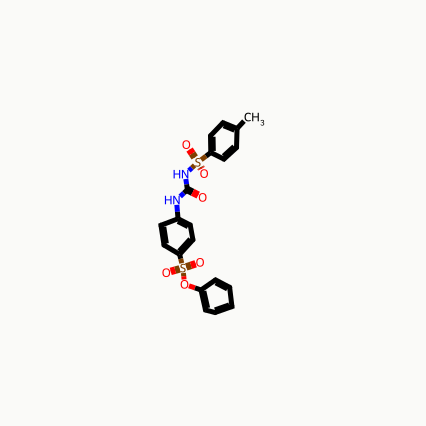 Cc1ccc(S(=O)(=O)NC(=O)Nc2ccc(S(=O)(=O)Oc3ccccc3)cc2)cc1